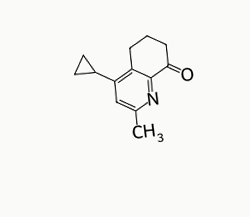 Cc1cc(C2CC2)c2c(n1)C(=O)CCC2